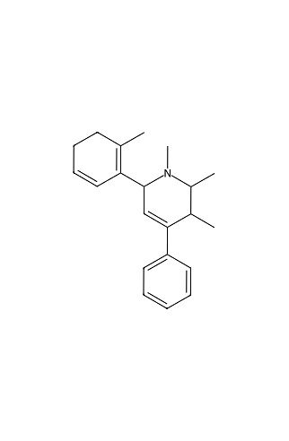 CC1=C(C2C=C(c3ccccc3)C(C)C(C)N2C)C=CCC1